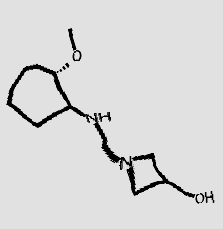 CO[C@H]1CCCC1NCN1CC(O)C1